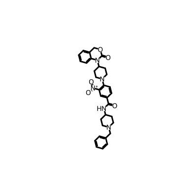 O=C(NC1CCN(Cc2ccccc2)CC1)c1ccc(N2CCC(N3C(=O)OCc4ccccc43)CC2)c([N+](=O)[O-])c1